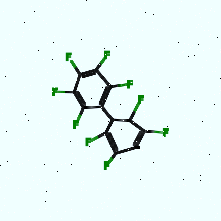 FC1=[C]C(F)=C(F)C(c2c(F)c(F)c(F)c(F)c2F)C1F